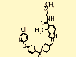 COCCNC(=O)c1ccc2nn(CC3CCN(C(=O)C4=CCC(Oc5ccc(Cl)cn5)C=C4)CC3)cc2c1C